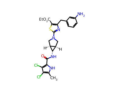 CCOC(=O)c1sc(N2C[C@@H]3[C@H](C2)[C@H]3NC(=O)c2[nH]c(C)c(Cl)c2Cl)nc1Cc1cccc(N)c1